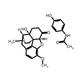 CC(=O)Nc1ccc(O)cc1.COc1ccc2c3c1O[C@H]1C(=O)CC[C@@]4(O)[C@@H](C2)N(C)CC[C@]314